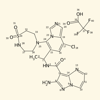 CC(NC(=O)c1c(N)nn2cccnc12)c1cc(Cl)c2cncn2c1N1CCNS(=O)(=O)CC1.O=C(O)C(F)(F)F